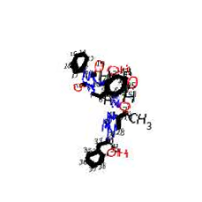 C[C@@H](O/N=C1/[C@H]2CCn3c(=O)n(-c4ccccc4)c(=O)n3[C@H]2[C@H](O)[C@@H]2O[C@H]12)c1cn([C@H](CO)Cc2ccccc2)nn1